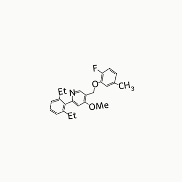 CCc1cccc(CC)c1-c1cc(OC)c(COc2cc(C)ccc2F)cn1